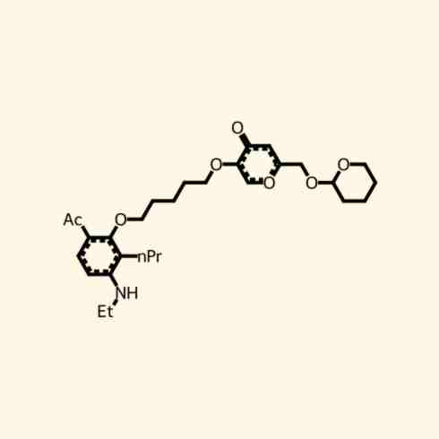 CCCc1c(NCC)ccc(C(C)=O)c1OCCCCCOc1coc(COC2CCCCO2)cc1=O